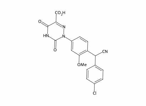 COc1cc(-n2nc(C(=O)O)c(=O)[nH]c2=O)ccc1C(C#N)c1ccc(Cl)cc1